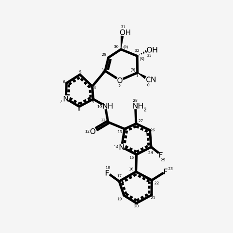 N#C[C@H]1OC(c2ccncc2NC(=O)c2nc(-c3c(F)cccc3F)c(F)cc2N)=C[C@@H](O)[C@@H]1O